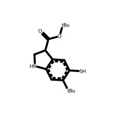 CC(C)(C)OC(=O)C1CNc2cc(C(C)(C)C)c(S)cc21